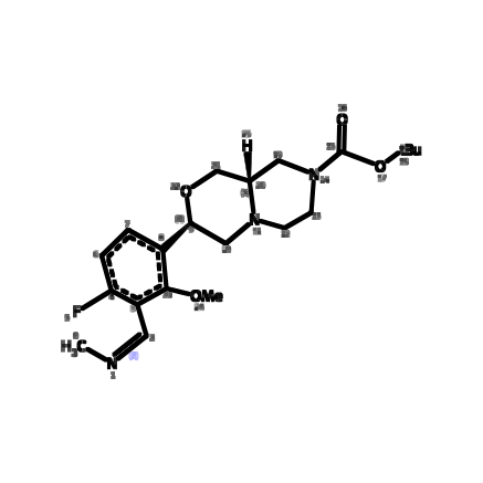 C/N=C\c1c(F)ccc([C@@H]2CN3CCN(C(=O)OC(C)(C)C)C[C@H]3CO2)c1OC